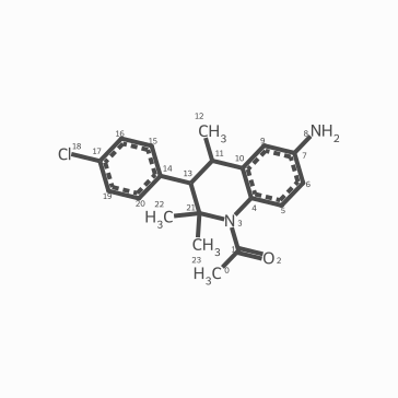 CC(=O)N1c2ccc(N)cc2C(C)C(c2ccc(Cl)cc2)C1(C)C